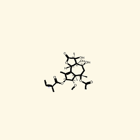 C/C=C(/C)C(=O)O[C@H]1C(C)=C2[C@@H]3OC(=O)[C@@](C)(O)[C@@]3(O)[C@@H](O)C[C@](C)(OC(C)=O)[C@@]2(C)[C@@H]1OC